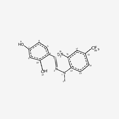 CN(N=Cc1ccc(O)cc1O)c1ccc(C(F)(F)F)cc1[N+](=O)[O-]